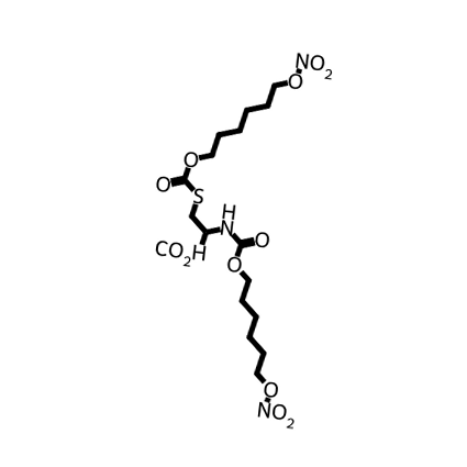 O=C(NC(CSC(=O)OCCCCCCO[N+](=O)[O-])C(=O)O)OCCCCCCO[N+](=O)[O-]